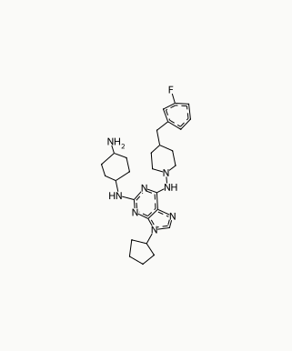 NC1CCC(Nc2nc(NN3CCC(Cc4cccc(F)c4)CC3)c3ncn(C4CCCC4)c3n2)CC1